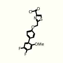 COc1cc(F)c(F)cc1-c1ccc(OCc2nc(C(=O)Cl)cs2)cc1